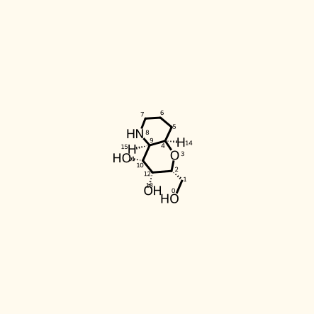 OC[C@H]1O[C@@H]2CCCN[C@@H]2[C@@H](O)[C@H]1O